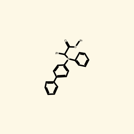 CC(C)OC(=O)C(C(C)C)N(c1ccccc1)c1ccc(-c2ccccc2)cc1